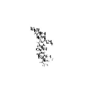 CCn1cc2ncc(N[C@@H](C)c3cccc(NC(=O)c4cnc(N5CCCC5)c(C)c4)c3)nc2n1